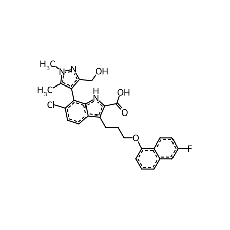 Cc1c(-c2c(Cl)ccc3c(CCCOc4cccc5cc(F)ccc45)c(C(=O)O)[nH]c23)c(CO)nn1C